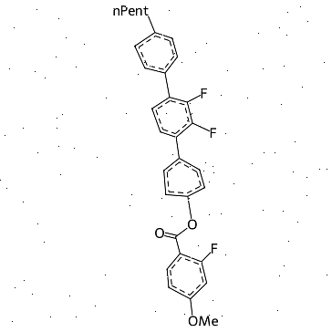 CCCCCc1ccc(-c2ccc(-c3ccc(OC(=O)c4ccc(OC)cc4F)cc3)c(F)c2F)cc1